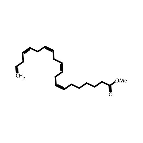 C=CC/C=C\C/C=C\C/C=C\C/C=C\CCCCCC(=O)OC